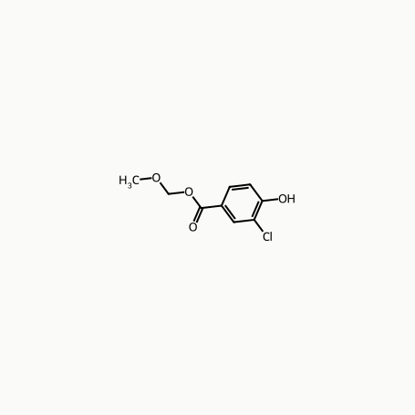 COCOC(=O)c1ccc(O)c(Cl)c1